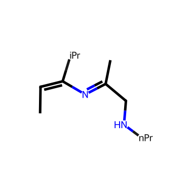 C/C=C(\N=C(/C)CNCCC)C(C)C